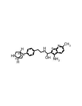 Cc1ccc2c(N)c(C(O)NCCc3ccc(N4C[C@H]5C[C@@H]4CN5)cc3)sc2n1